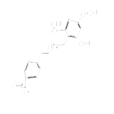 COc1cc(O)c(CNCCc2ccc([N+](=O)[O-])cc2)c(OC)c1